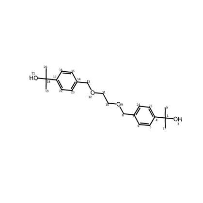 CC(C)(O)c1ccc(COCCOCc2ccc(C(C)(C)O)cc2)cc1